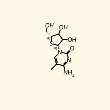 Cc1cn([C@@H]2S[C@H](CO)C(O)C2O)c(=O)nc1N